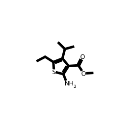 CCc1sc(N)c(C(=O)OC)c1C(C)C